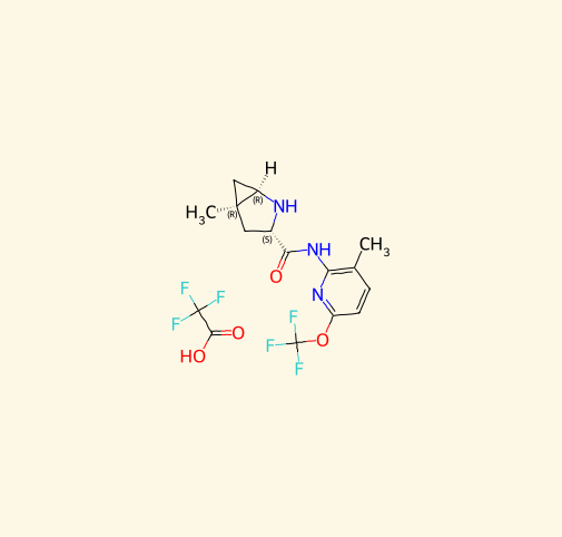 Cc1ccc(OC(F)(F)F)nc1NC(=O)[C@@H]1C[C@@]2(C)C[C@H]2N1.O=C(O)C(F)(F)F